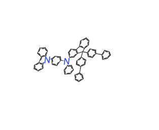 c1ccc(-c2ccc(C3(c4ccc(-c5ccccc5)cc4)c4ccccc4-c4ccc(N(c5ccccc5)c5ccc(-n6c7ccccc7c7ccccc76)cc5)cc43)cc2)cc1